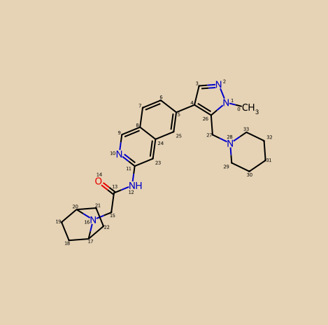 Cn1ncc(-c2ccc3cnc(NC(=O)CN4C5CCC4CC5)cc3c2)c1CN1CCCCC1